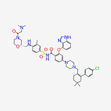 Cc1cc(S(=O)(=O)NC(=O)c2ccc(N3CCN(CC4=C(c5ccc(Cl)cc5)CC(C)(C)CC4)CC3)cc2Oc2cccc3[nH]cnc23)ccc1NC[C@H]1CN(C(=O)CN(C)C)CCO1